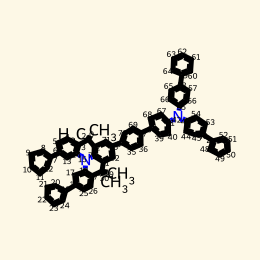 CC1(C)c2ccc(-c3ccccc3)cc2N2c3cc(-c4ccccc4)ccc3C(C)(C)c3cc(-c4ccc(-c5ccc(N(c6ccc(-c7ccccc7)cc6)c6ccc(-c7ccccc7)cc6)cc5)cc4)cc1c32